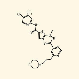 C[C@@H](NC(=O)c1cc(CCCN2CCOCC2)ncn1)c1ncc(C(=O)Nc2cc(C(F)(F)F)c(Cl)cn2)s1